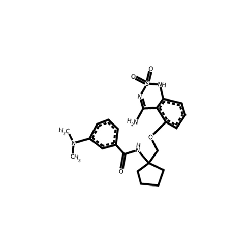 CN(C)c1cccc(C(=O)NC2(COc3cccc4c3C(N)=NS(=O)(=O)N4)CCCC2)c1